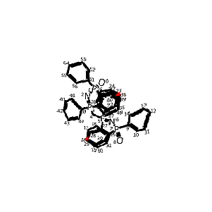 O=P(N=P(CP(=NP(=O)(c1ccccc1)c1ccccc1)(c1ccccc1)c1ccccc1)(c1ccccc1)c1ccccc1)(c1ccccc1)c1ccccc1